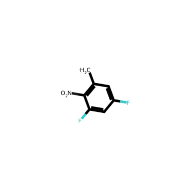 [CH2]c1cc(F)cc(F)c1[N+](=O)[O-]